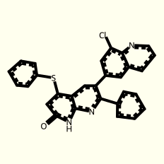 O=c1cc(Sc2ccccc2)c2cc(-c3cc(Cl)c4ncccc4c3)c(-c3ccccc3)nc2[nH]1